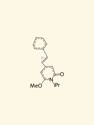 COc1cc(/C=C/c2ccccc2)cc(=O)n1C(C)C